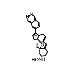 C[C@]12CC=C3C=C4CC[C@@H](NO)C[C@]45CC[C@]3(O5)[C@@H]1CC=C2c1ccc2cnncc2c1